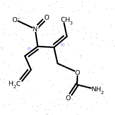 C=C/C=C(\C(=C/C)COC(N)=O)[N+](=O)[O-]